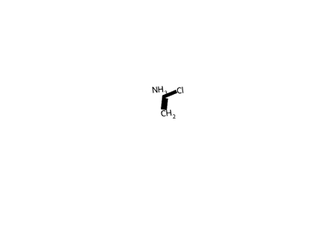 C=CCl.N